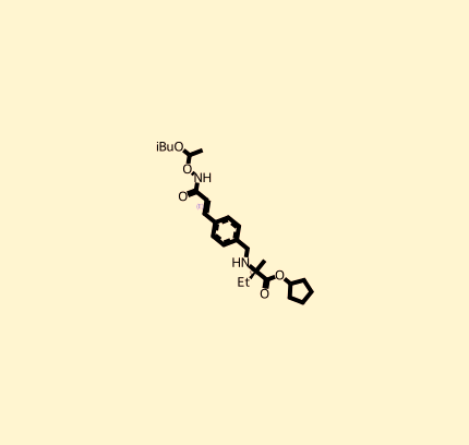 CC[C@](C)(NCc1ccc(/C=C/C(=O)NOC(C)OCC(C)C)cc1)C(=O)OC1CCCC1